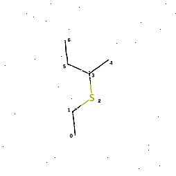 CCS[C](C)CC